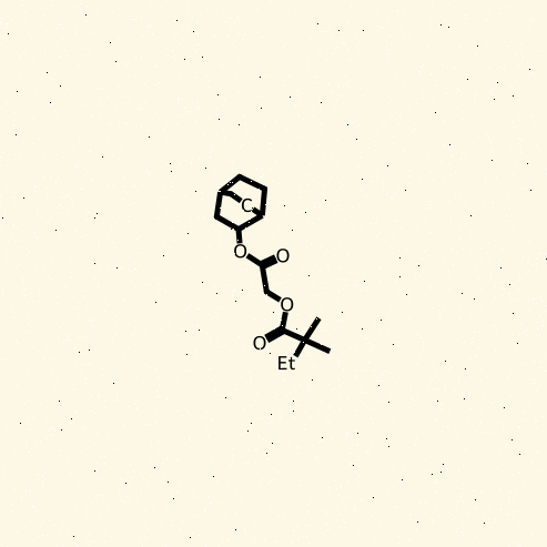 CCC(C)(C)C(=O)OCC(=O)OC1CC2CCC1CC2